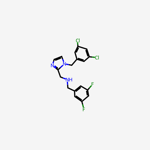 Fc1cc(F)cc(CNCc2nccn2Cc2cc(Cl)cc(Cl)c2)c1